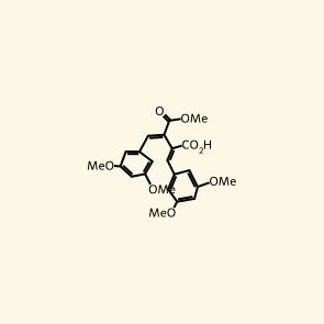 COC(=O)C(=Cc1cc(OC)cc(OC)c1)C(=Cc1cc(OC)cc(OC)c1)C(=O)O